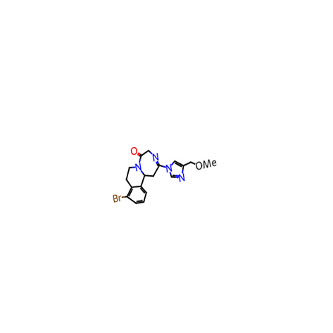 COCc1cn(C2=NCC(=O)N3CCc4c(Br)cccc4C3C2)cn1